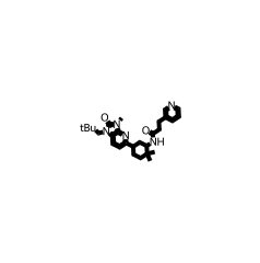 Cn1c(=O)n(CC(C)(C)C)c2ccc(C3CCC(C)(C)C(NC(=O)CCc4cccnc4)C3)nc21